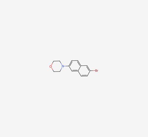 Brc1ccc2cc(N3CCOCC3)ccc2c1